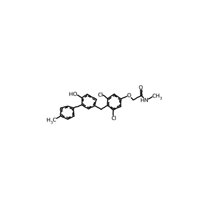 CNC(=O)COc1cc(Cl)c(Cc2ccc(O)c(-c3ccc(C)cc3)c2)c(Cl)c1